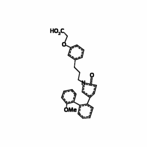 COc1ccccc1-c1ccccc1-c1ccc(=O)n(CCCc2cccc(OCC(=O)O)c2)c1